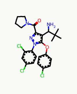 CC(C)(C)C(N)c1c(C(=O)N2CCCC2)nn(-c2ccc(Cl)cc2Cl)c1Oc1ccc(Cl)cc1